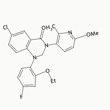 CCOc1cc(F)ccc1N1CN(c2ccc(OC)nc2C)C(=O)c2cc(Cl)ccc21